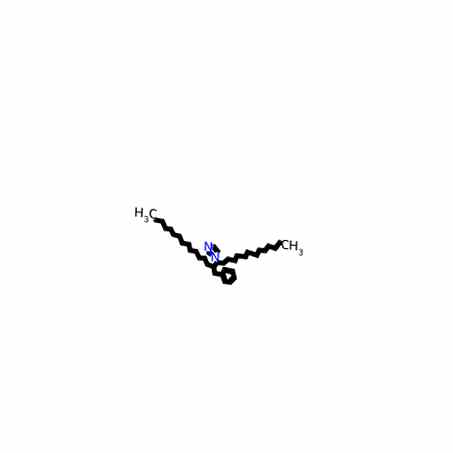 CCCCCCCCCCCCCCC(Cc1ccccc1)C(CCCCCCCCCCCCC)n1ccnc1